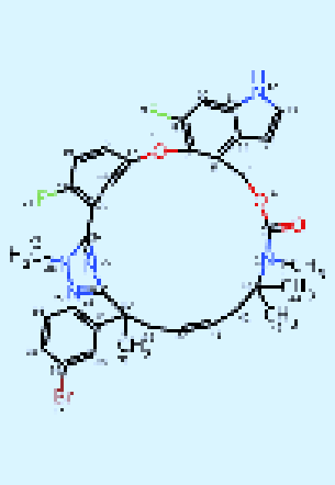 CN1C(=O)OCc2c(c(F)cc3[nH]ccc23)Oc2ccc(F)c(c2)-c2nc(nn2C)C(C)(c2cccc(Br)c2)C/C=C\CC1(C)C